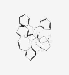 O=C(N1C[C@H]2CC[C@@H](C1)N2C(=O)N1c2ccccc2C=Cc2ccccc21)N(c1ccccc1)c1ccccc1